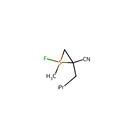 CC(C)CC1(C#N)CS1(C)F